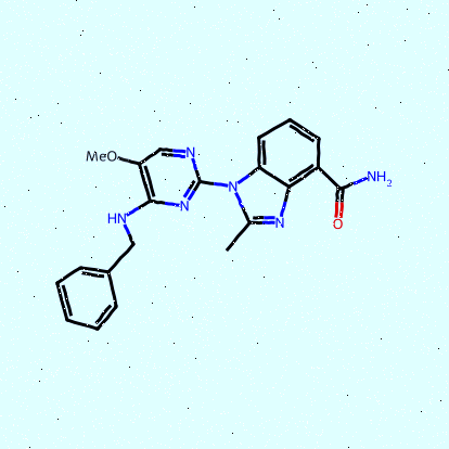 COc1cnc(-n2c(C)nc3c(C(N)=O)cccc32)nc1NCc1ccccc1